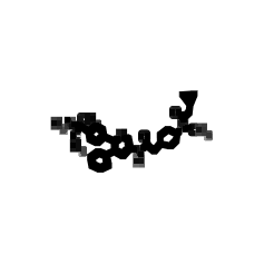 CN(C(=O)CC1CC1)C1CCC(CC(=O)Nc2cnc(-c3ccc(C(C)(C)N)cc3)c(-c3ccccc3)c2)CC1